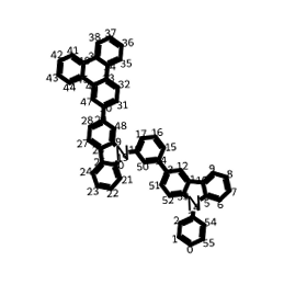 c1ccc(-n2c3ccccc3c3cc(-c4cccc(-n5c6ccccc6c6ccc(-c7ccc8c9ccccc9c9ccccc9c8c7)cc65)c4)ccc32)cc1